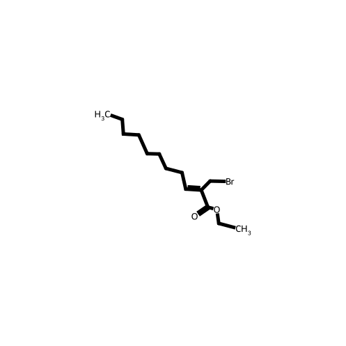 CCCCCCCCC=C(CBr)C(=O)OCC